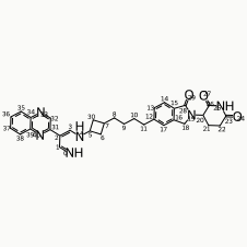 N=C/C(=C\NC1CC(CCCCc2ccc3c(c2)CN(C2CCC(=O)NC2=O)C3=O)C1)c1cnc2ccccc2n1